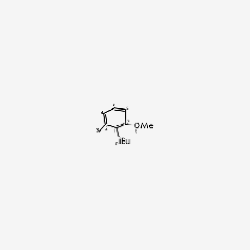 CCC(C)c1c(C)cccc1OC